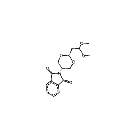 COC(C[C@H]1OC[C@H](N2C(=O)c3ccccc3C2=O)CO1)OC